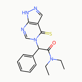 CCN(CC)C(=O)C(c1ccccc1)n1cnc2[nH]ncc2c1=S